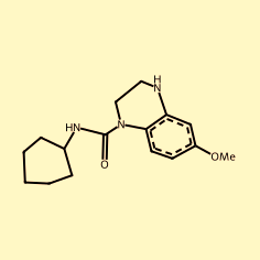 COc1ccc2c(c1)NCCN2C(=O)NC1CCCCC1